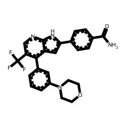 NC(=O)c1ccc(-c2cc3c(-c4cccc(N5CCOCC5)c4)c(C(F)(F)F)cnc3[nH]2)cc1